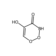 O=C1BOOC=C1O